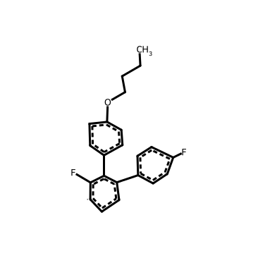 CCCCOc1ccc(-c2c(F)[c]ccc2-c2ccc(F)cc2)cc1